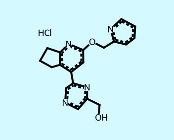 Cl.OCc1cncc(-c2cc(OCc3ccccn3)nc3c2CCC3)n1